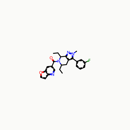 CCC1Cc2c(nn(C)c2-c2cccc(F)c2)C(CC)N1C(=O)c1cnc2ccoc2c1